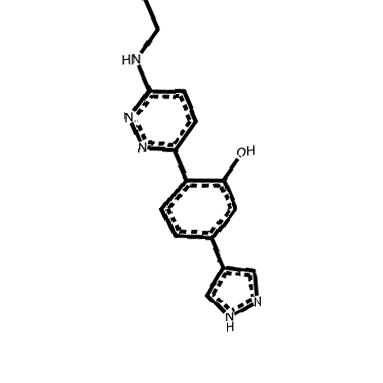 CCNc1ccc(-c2ccc(-c3cn[nH]c3)cc2O)nn1